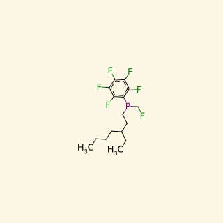 CCCCC(CC)CCP(CF)c1c(F)c(F)c(F)c(F)c1F